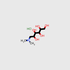 CN(C)CC(O)C(O)C(O)C(O)CO.Cl